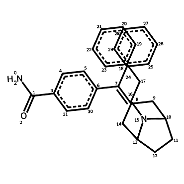 NC(=O)c1ccc(C(=C2CC3CCC(C2)N3CCc2ccccc2)c2ccccc2)cc1